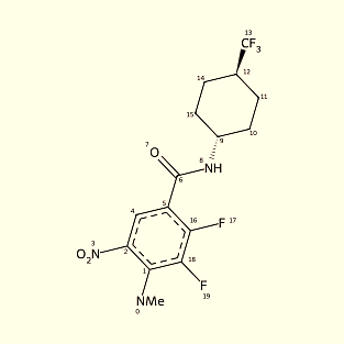 CNc1c([N+](=O)[O-])cc(C(=O)N[C@H]2CC[C@H](C(F)(F)F)CC2)c(F)c1F